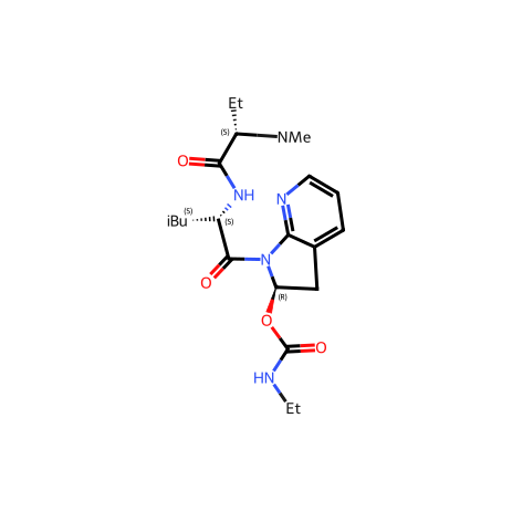 CCNC(=O)O[C@@H]1Cc2cccnc2N1C(=O)[C@@H](NC(=O)[C@H](CC)NC)[C@@H](C)CC